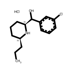 CCC[C@H]1CCC[C@@H](C(O)c2cccc(Cl)c2)N1.Cl